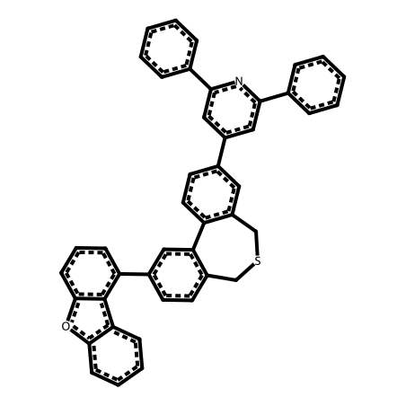 c1ccc(-c2cc(-c3ccc4c(c3)CSCc3ccc(-c5cccc6oc7ccccc7c56)cc3-4)cc(-c3ccccc3)n2)cc1